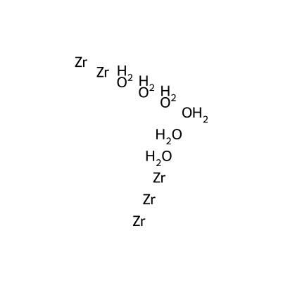 O.O.O.O.O.O.[Zr].[Zr].[Zr].[Zr].[Zr]